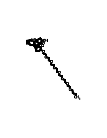 COCCOCCOCCOCCOCCOCCOCCOCCOc1ccc2c3c1O[C@H]1[C@@H](O)CC[C@@]4(O)[C@@H](C2)N(CC2CCC2)CC[C@]314